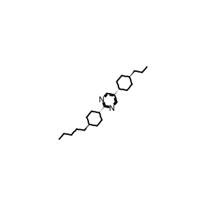 CCCCC[C@H]1CC[C@H](c2ncc([C@H]3CC[C@H](CCC)CC3)cn2)CC1